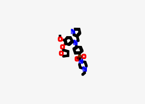 CCN1CCN(S(=O)(=O)c2ccc(N(Cc3cccnc3)c3ccc(OC)c(OC4CCCO4)c3)cc2)CC1